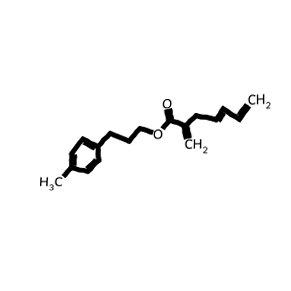 C=CC=CCC(=C)C(=O)OCCCc1ccc(C)cc1